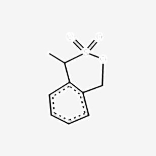 CC1c2ccccc2COS1(=O)=O